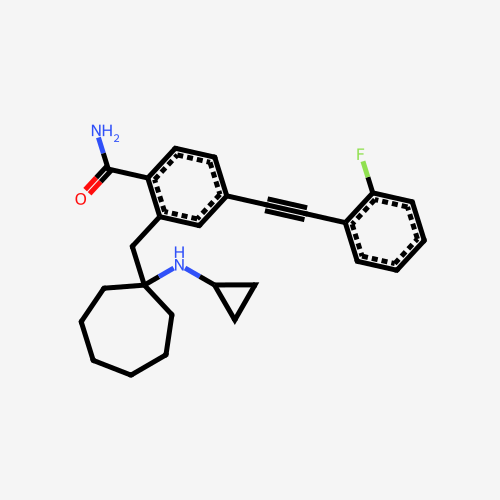 NC(=O)c1ccc(C#Cc2ccccc2F)cc1CC1(NC2CC2)CCCCCC1